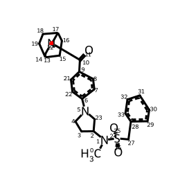 CN(C1CCN(c2ccc(C(=O)N3CC4CCC(CC4)C3)cc2)C1)S(=O)(=O)Cc1ccccc1